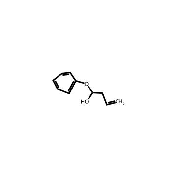 C=CCC(O)Oc1ccccc1